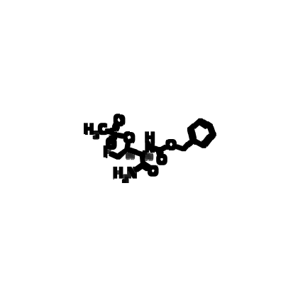 CS(=O)(=O)O[C@H](CF)[C@H](NC(=O)OCc1ccccc1)C(N)=O